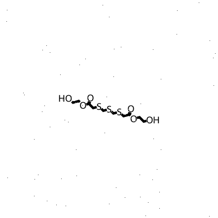 O=C(CSCSCSCC(=O)OCCO)OCCO